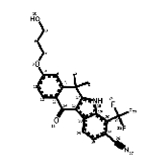 CC1(C)c2cc(OCCCO)ccc2C(=O)c2c1[nH]c1c(C(F)(F)F)c(C#N)ccc21